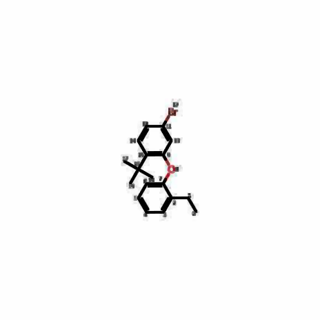 CCc1ccccc1Oc1cc(Br)ccc1C(C)(C)C